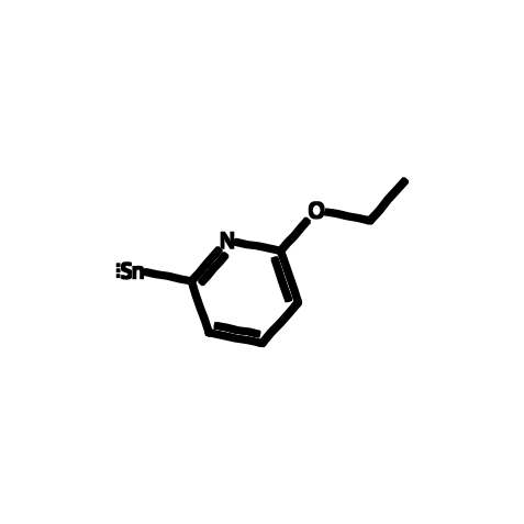 CCOc1ccc[c]([Sn])n1